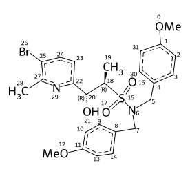 COc1ccc(CN(Cc2ccc(OC)cc2)S(=O)(=O)[C@H](C)[C@H](O)c2ccc(Br)c(C)n2)cc1